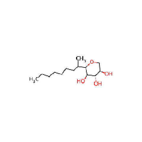 CCCCCCCC(C)C1OC[C@@H](O)[C@H](O)[C@H]1O